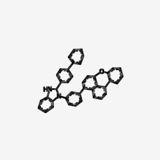 c1ccc(-c2ccc(C3Nc4ccccc4N3c3cccc(-c4ccc5c6c(cccc46)-c4ccccc4O5)c3)cc2)cc1